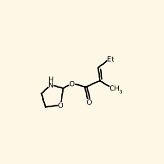 CCC=C(C)C(=O)OC1NCCO1